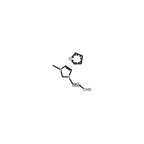 CCCCCCCCN1C=CN(C)C1.O=CO.c1ccoc1